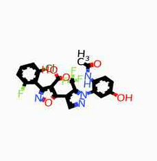 CC(=O)Nc1ccc(O)cc1-n1ncc(-c2onc(-c3c(F)cccc3Cl)c2C(=O)O)c1C(F)(F)F